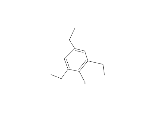 CCc1cc(CC)c(I)c(CC)c1